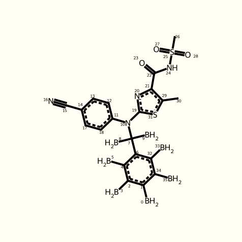 Bc1c(B)c(B)c(C(B)(B)N(c2ccc(C#N)cc2)c2nc(C(=O)NS(C)(=O)=O)c(C)s2)c(B)c1B